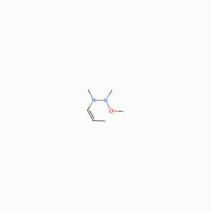 C/C=C\N(C)N(C)OC